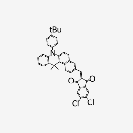 CC(C)(C)c1ccc(N2c3ccccc3C(C)(C)c3c2ccc2cc(C=C4C(=O)c5cc(Cl)c(Cl)cc5C4=O)ccc32)cc1